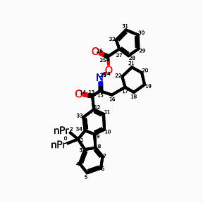 CCCC1(CCC)c2ccccc2-c2ccc(C(=O)/C(CC3CCCCC3)=N/OC(=O)c3ccccc3)cc21